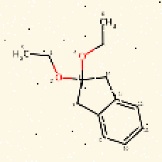 CCOC1(OCC)Cc2ccccc2C1